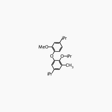 COc1cc(C(C)C)ccc1Oc1cc(C(C)C)cc(C)c1OC(C)C